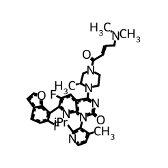 Cc1ccnc(C(C)C)c1-n1c(=O)nc(N2CCN(C(=O)/C=C/CN(C)C)C[C@@H]2C)c2cc(F)c(-c3c(F)ccc4ccoc34)nc21